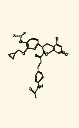 CC(=O)Nc1ccc(CCC(=O)OC(Cc2c(Cl)c[n+]([O-])cc2Cl)c2ccc(OC(F)F)c(OCC3CC3)c2)cc1